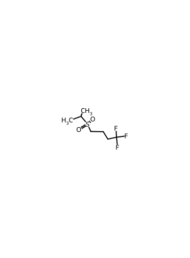 C[C](C)S(=O)(=O)CCCC(F)(F)F